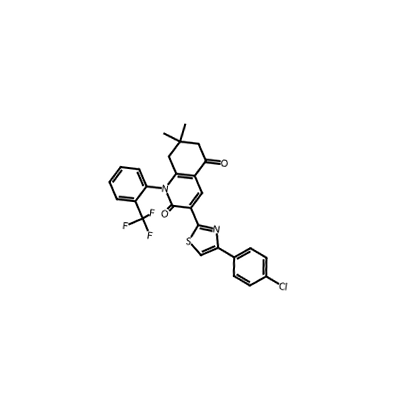 CC1(C)CC(=O)c2cc(-c3nc(-c4ccc(Cl)cc4)cs3)c(=O)n(-c3ccccc3C(F)(F)F)c2C1